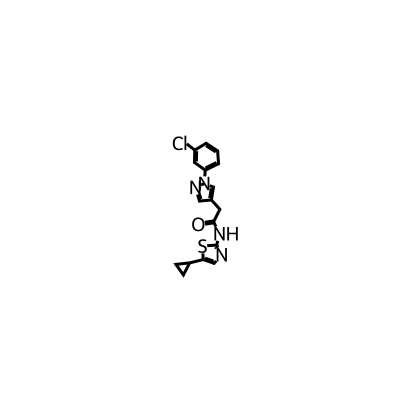 O=C(Cc1cnn(-c2cccc(Cl)c2)c1)Nc1ncc(C2CC2)s1